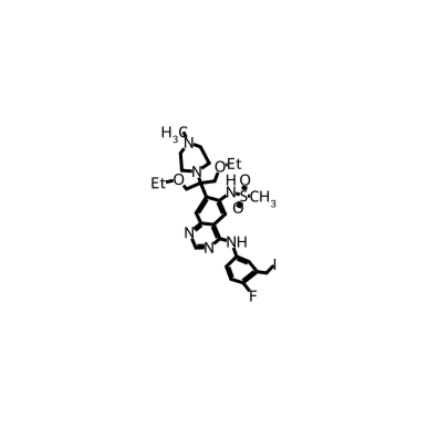 CCOCC(COCC)(c1cc2ncnc(Nc3ccc(F)c(CI)c3)c2cc1NS(C)(=O)=O)N1CCN(C)CC1